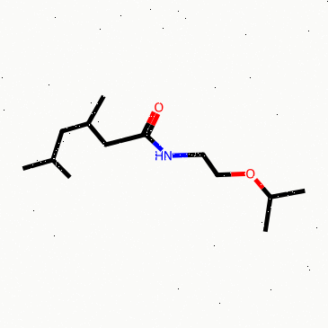 CC(C)CC(C)CC(=O)NCCOC(C)C